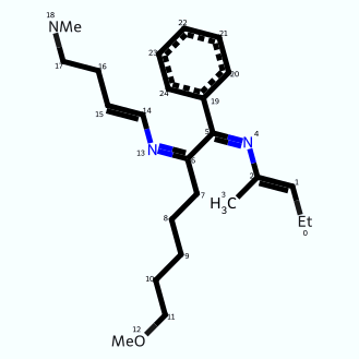 CC/C=C(C)/N=C(\C(CCCCCOC)=N/C=C/CCNC)c1ccccc1